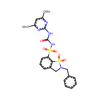 COc1cc(OC)nc(NC(=O)NS(=O)(=O)c2cccc3c2S(=O)(=O)N(Cc2ccccc2)C3)n1